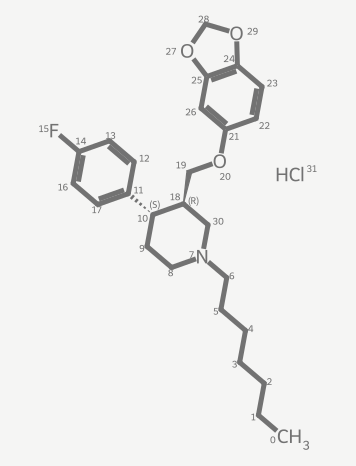 CCCCCCCN1CC[C@H](c2ccc(F)cc2)[C@@H](COc2ccc3c(c2)OCO3)C1.Cl